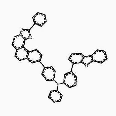 c1ccc(-c2nc3ccc4ccc5cc(-c6ccc(N(c7ccccc7)c7cccc(-c8cccc9c8oc8ccccc89)c7)cc6)ccc5c4c3o2)cc1